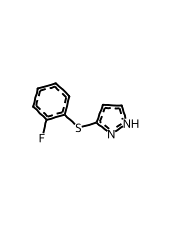 Fc1ccccc1Sc1cc[nH]n1